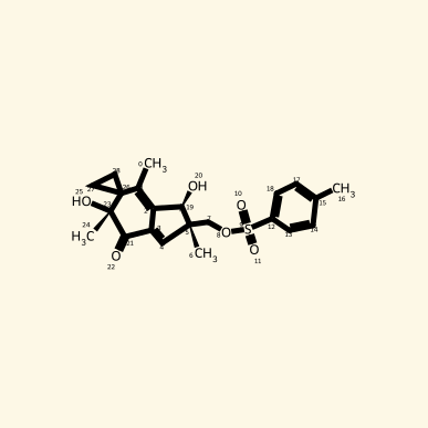 CC1=C2C(=C[C@@](C)(COS(=O)(=O)c3ccc(C)cc3)[C@@H]2O)C(=O)[C@](C)(O)C12CC2